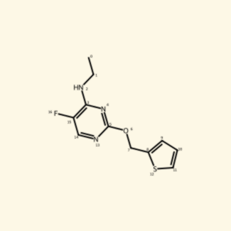 CCNc1nc(OCc2cccs2)ncc1F